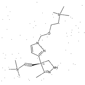 CC1=NNC[C@@]1(C#C[Si](C)(C)C)c1ccn(COCC[Si](C)(C)C)n1